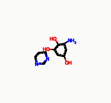 Nc1cc(O)cc(O)c1O.c1cncnc1